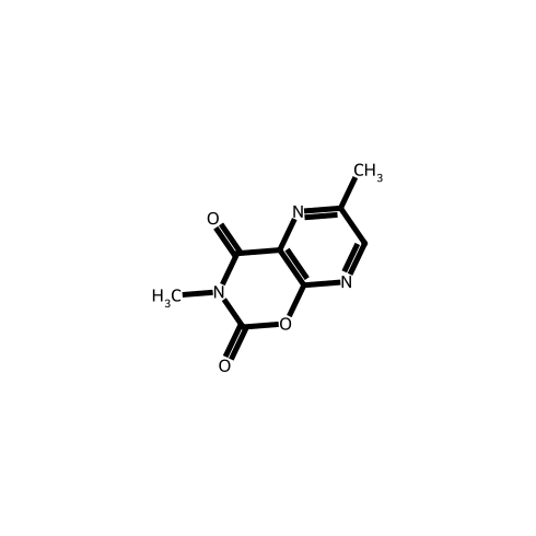 Cc1cnc2oc(=O)n(C)c(=O)c2n1